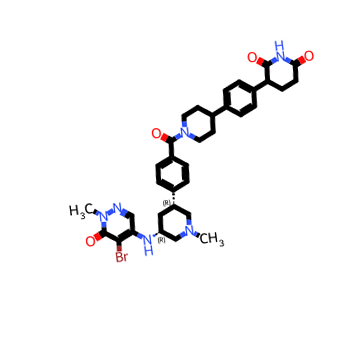 CN1C[C@H](Nc2cnn(C)c(=O)c2Br)C[C@H](c2ccc(C(=O)N3CCC(c4ccc(C5CCC(=O)NC5=O)cc4)CC3)cc2)C1